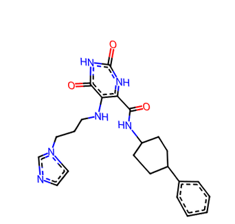 O=C(NC1CCC(c2ccccc2)CC1)c1[nH]c(=O)[nH]c(=O)c1NCCCn1ccnc1